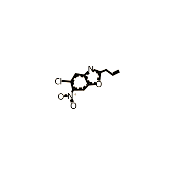 C=CCc1nc2cc(Cl)c([N+](=O)[O-])cc2o1